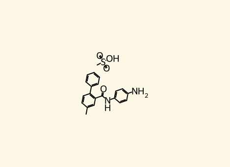 CS(=O)(=O)O.Cc1ccc(-c2ccccc2)c(C(=O)Nc2ccc(N)cc2)c1